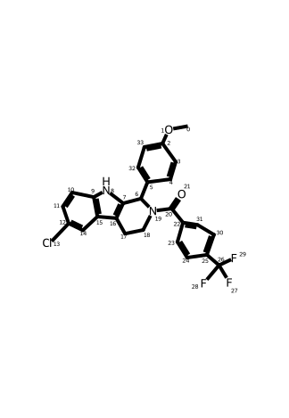 COc1ccc(C2c3[nH]c4ccc(Cl)cc4c3CCN2C(=O)c2ccc(C(F)(F)F)cc2)cc1